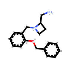 NCC1CCN1Cc1ccccc1OCc1ccccc1